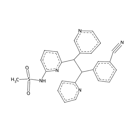 CS(=O)(=O)Nc1cccc(C(c2cccnc2)C(c2cccc(C#N)c2)c2ccccn2)n1